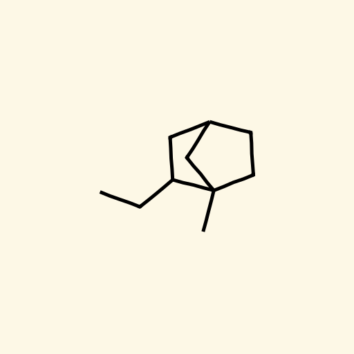 CCC1CC2CCC1(C)C2